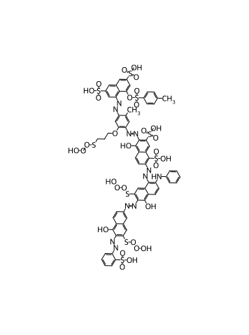 Cc1ccc(S(=O)(=O)Oc2cc(S(=O)(=O)O)cc3cc(S(=O)(=O)O)cc(N=Nc4cc(OCCCSOOO)c(N=Nc5c(S(=O)(=O)O)cc6c(S(=O)(=O)O)c(N=Nc7c(Nc8ccccc8)ccc8c(O)c(N=Nc9ccc%10c(O)c(N=Nc%11ccccc%11S(=O)(=O)O)c(SOOO)cc%10c9)c(SOOO)cc78)ccc6c5O)cc4C)c23)cc1